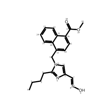 CCCCc1nc(C=NO)cn1Cc1ccc(C(=O)OC)c2ccccc12